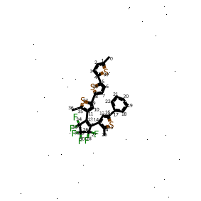 Cc1ccc(-c2ccc(-c3cc(C4=C(c5cc(-c6ccccc6)sc5C)C(F)(F)C(F)(F)C4(F)F)c(C)s3)s2)s1